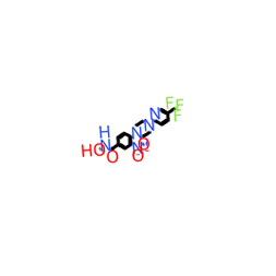 O=C(NO)c1ccc(N2CCN(c3ccc(C(F)(F)F)cn3)CC2)c([N+](=O)[O-])c1